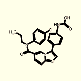 CCCN(C(=O)c1ccc2ncc(-c3ccc(NC(=O)O)cc3)n2c1)c1ccc(Cl)cc1